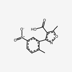 Cc1ccc([N+](=O)[O-])cc1-c1noc(C)c1C(=O)O